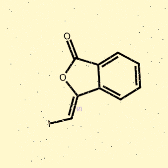 O=C1O/C(=C\I)c2ccccc21